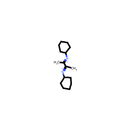 CC(=N\C1CCCCC1)/C(C)=N/C1CCCCC1